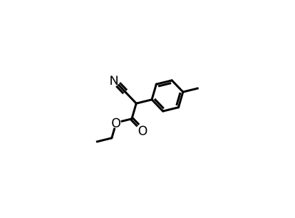 CCOC(=O)C(C#N)c1ccc(C)cc1